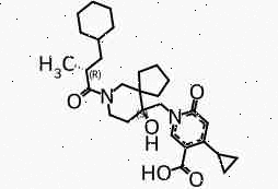 C[C@H](CC1CCCCC1)C(=O)N1CC[C@@](O)(Cn2cc(C(=O)O)c(C3CC3)cc2=O)C2(CCCC2)C1